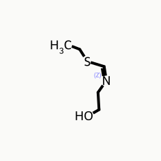 CCS/C=N\CCO